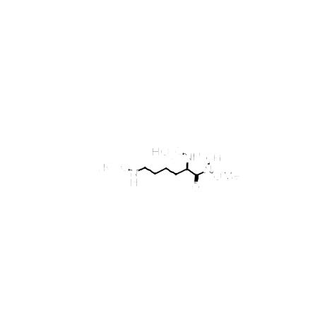 CON(C)C(=O)C(CCCCNC(=O)O)NC(=O)O